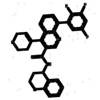 O=C(NC1CCOc2ccccc21)c1cnc2c(-c3cc(F)cc(F)c3F)cccc2c1C1=CCOCC1